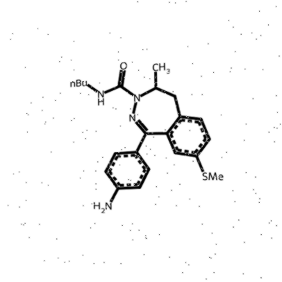 CCCCNC(=O)N1N=C(c2ccc(N)cc2)c2cc(SC)ccc2CC1C